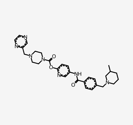 CC1CCCN(Cc2ccc(C(=O)Nc3ccc(OC(=O)N4CCN(Cc5cnccn5)CC4)nc3)cc2)C1